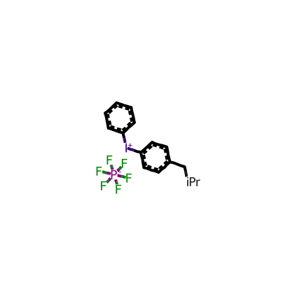 CC(C)Cc1ccc([I+]c2ccccc2)cc1.F[P-](F)(F)(F)(F)F